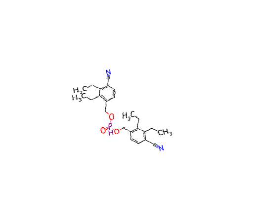 CCc1c(C#N)ccc(CO[PH](=O)OCc2ccc(C#N)c(CC)c2CC)c1CC